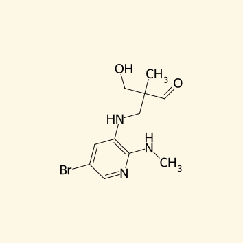 CNc1ncc(Br)cc1NCC(C)(C=O)CO